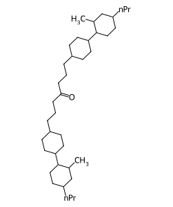 CCCC1CCC(C2CCC(CCCC(=O)CCCC3CCC(C4CCC(CCC)CC4C)CC3)CC2)C(C)C1